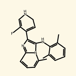 Cc1cccc(C)c1Nc1c(C2=CCNC=C2F)nc2cccc(C)n12